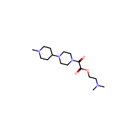 CN(C)CCOC(=O)C(=O)N1CCN(C2CCN(C)CC2)CC1